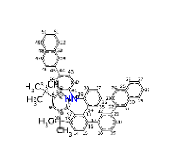 CC(C)(C)c1ccc2c(c1)C(C)(C)c1ccc(-c3cccc(-c4ccc5ccccc5c4)c3)c(-c3ccccc3Nc3ccc(-c4ccc5ccccc5c4)cc3)c1-2